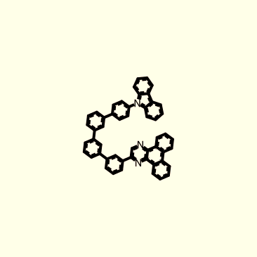 c1cc(-c2ccc(-n3c4ccccc4c4ccccc43)cc2)cc(-c2cccc(-c3cccc(-c4cnc5c6ccccc6c6ccccc6c5n4)c3)c2)c1